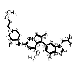 COCCN1CC[C@@H](Nc2nc(OC)c3c(-c4cc(F)c5ncn(CC(F)F)c5c4)c(F)cn3n2)[C@H](F)C1